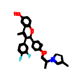 CC1=C(c2ccc(F)c(F)c2)C(c2ccc(OCC(C)N3CCC(C)C3)cc2)Oc2ccc(O)cc21